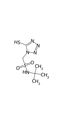 CC(C)(C)NS(=O)(=O)Cn1nnnc1S